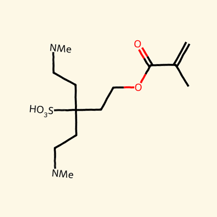 C=C(C)C(=O)OCCC(CCNC)(CCNC)S(=O)(=O)O